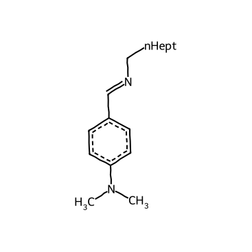 CCCCCCCC/N=C/c1ccc(N(C)C)cc1